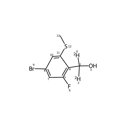 [2H]C([2H])(O)c1c(F)cc(Br)cc1SC